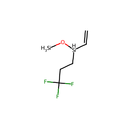 C=C[SiH](CCC(F)(F)F)O[SiH3]